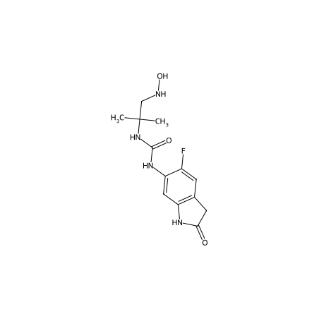 CC(C)(CNO)NC(=O)Nc1cc2c(cc1F)CC(=O)N2